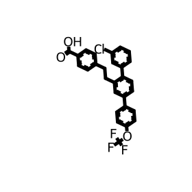 O=C(O)c1ccc(CCc2cc(-c3ccc(OC(F)(F)F)cc3)ccc2-c2cccc(Cl)c2)cc1